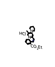 CCOC(=O)c1ccccc1/C=C\c1cc(N2CCCCC2)c(C)cn1.Cl